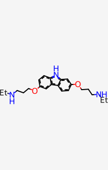 CCNCCCOc1ccc2c(c1)[nH]c1ccc(OCCCNCC)cc12